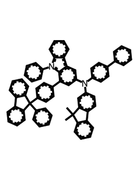 CC1(C)c2ccccc2-c2ccc(N(c3ccc(-c4ccccc4)cc3)c3cc(-c4ccc(C5(c6ccccc6)c6ccccc6-c6ccccc65)cc4)c4c(c3)c3ccccc3n4-c3ccccc3)cc21